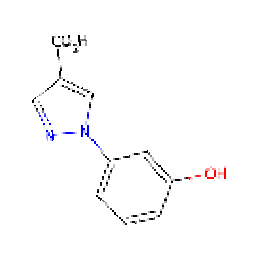 O=C(O)c1cnn(-c2cccc(O)c2)c1